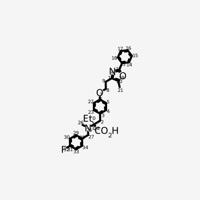 CC[C@](Cc1ccc(OCCc2nc(-c3ccccc3)oc2C)cc1)(C(=O)O)N(C)Cc1ccc(F)cc1